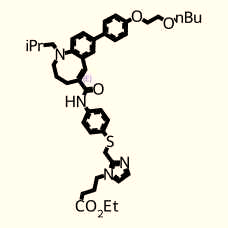 CCCCOCCOc1ccc(-c2ccc3c(c2)/C=C(/C(=O)Nc2ccc(SCc4nccn4CCCC(=O)OCC)cc2)CCCN3CC(C)C)cc1